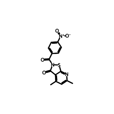 Cc1cc(C)c2c(=O)n(C(=O)c3ccc([N+](=O)[O-])cc3)sc2n1